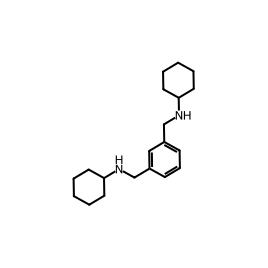 c1cc(CNC2CCCCC2)cc(CNC2CCCCC2)c1